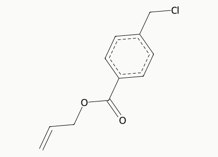 C=CCOC(=O)c1ccc(CCl)cc1